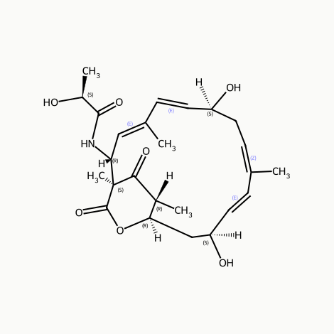 CC1=C/C[C@H](O)/C=C/C(C)=C/[C@@H](NC(=O)[C@H](C)O)[C@]2(C)C(=O)O[C@H](C[C@H](O)\C=C\1)[C@@H](C)C2=O